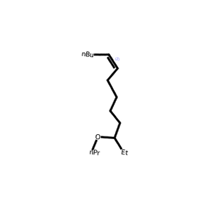 CCCC/C=C\CCCCC(CC)OCCC